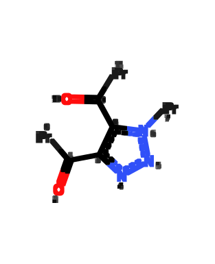 CC(C)C(=O)c1nnn(C(C)C)c1C(=O)C(C)C